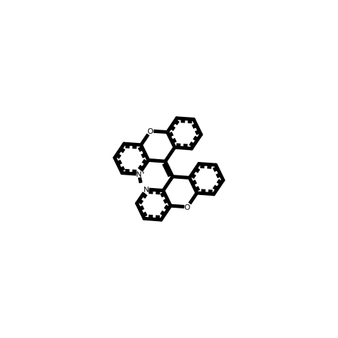 C[n+]1cccc2c1/C(=C1/c3ccccc3Oc3cccnc31)c1ccccc1O2